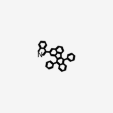 c1ccc(-c2c3c(c(-c4ccccc4)c4ccccc24)-c2cc(-c4cncc5ccccc45)cc4cccc-3c24)cc1